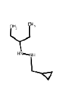 CCC(CC)NNCC1CC1